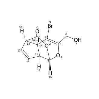 O=C1O[C@@H]2OC(CO)=C(Br)[C@H]3[C@@H]2C=C[C@@H]13